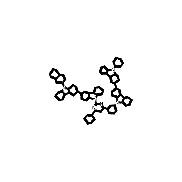 c1ccc(-c2cc(-c3cccc(-n4c5ccccc5c5cc(-c6ccc7c(c6)c6ccccc6n7-c6ccccc6)ccc54)c3)nc(-n3c4ccccc4c4cc(-c5ccc6c(c5)c5ccccc5n6-c5ccc6ccccc6c5)ccc43)n2)cc1